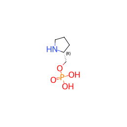 O=P(O)(O)OC[C@H]1CCCN1